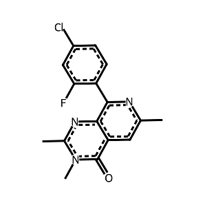 Cc1cc2c(=O)n(C)c(C)nc2c(-c2ccc(Cl)cc2F)n1